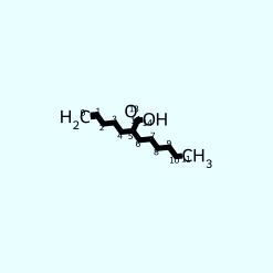 C=CCCCC(CCCCCC)C(=O)O